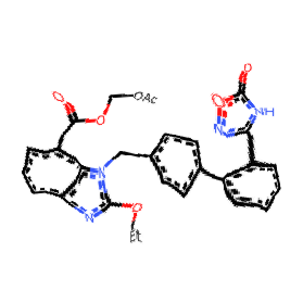 CCOc1nc2cccc(C(=O)OCOC(C)=O)c2n1Cc1ccc(-c2ccccc2-c2noc(=O)[nH]2)cc1